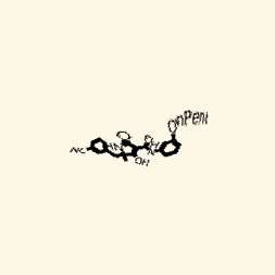 CCCCCOc1cccc(NC(=O)C2=C(O)C(C)(Cc3cccc(C#N)c3)NC2=O)c1